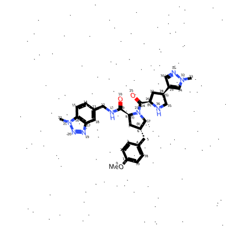 COc1ccc(C[C@@H]2C[C@@H](C(=O)NCc3ccc4c(c3)nnn4C)N(C(=O)[C@H]3C[C@@H](c4cnn(C)c4)CN3)C2)cc1